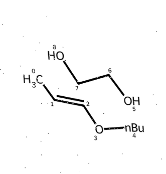 CC=COCCCC.OCCO